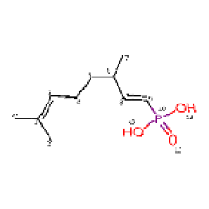 CC(C)=CCCC(C)C=CP(=O)(O)O